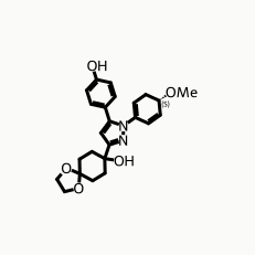 CO[C@@H]1C=CC(n2nc(C3(O)CCC4(CC3)OCCO4)cc2-c2ccc(O)cc2)=CC1